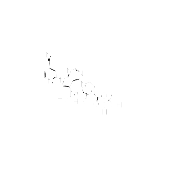 CC1CN(c2ncnc3c2c(N(C)C)cn3-c2cc(C#N)ccn2)CCN1C(=O)OC(C)(C)C